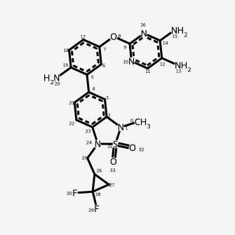 CN1c2cc(-c3cc(Oc4ncc(N)c(N)n4)ccc3N)ccc2N(CC2CC2(F)F)S1(=O)=O